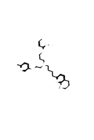 C/C=C\C(=N\O)N[C@@H](CCN(CCCCc1ccc2c(n1)NCCC2)CCOc1ccc(C)nc1)C(C)=O